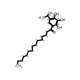 CCCCCCCCCCCCCCC(=O)c1cc(C(C)C)c(O)c(O)c1O